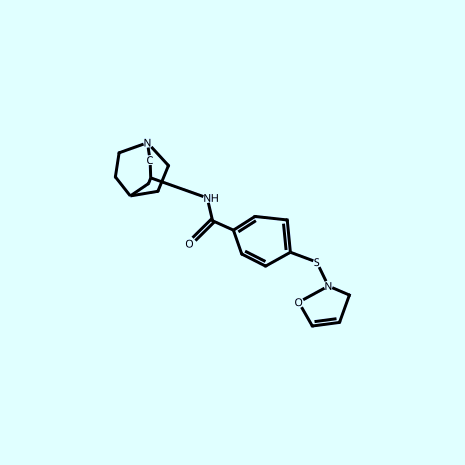 O=C(NC1CC2CCN(CC2)C1)c1ccc(SN2CC=CO2)cc1